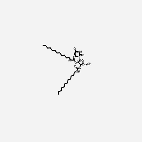 CCCCCCCCCCCCNC(=O)OC1[C@@H](CO)O[C@@H](n2ccc(=O)[nH]c2=O)[C@H]1OC(=O)NCCCCCCCCCCCC